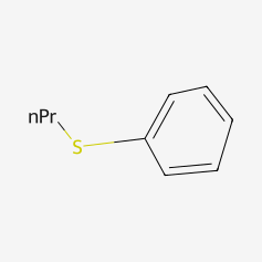 CCCSc1ccccc1